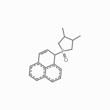 CC1CP(=O)(C2C=Cc3cccc4cccc2c34)CC1C